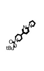 CC(C)(C)OC(=O)N1CCC(c2ccc(N3CCCC3)nc2)CC1